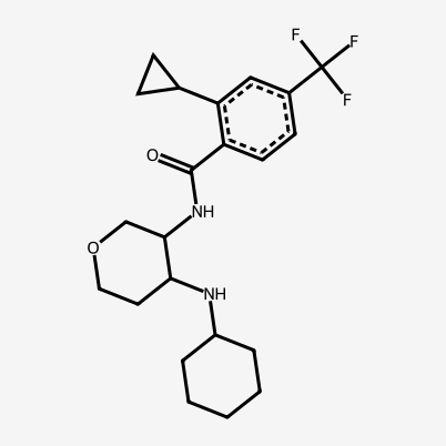 O=C(NC1COCCC1NC1CCCCC1)c1ccc(C(F)(F)F)cc1C1CC1